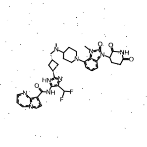 CN(C[C@H]1C[C@H](c2nc(C(F)F)c(NC(=O)c3ccn4cccnc34)[nH]2)C1)C1CCN(c2cccc3c2n(C)c(=O)n3C2CCC(=O)NC2=O)CC1